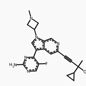 CN1CC(n2cc(-c3nc(N)ncc3F)c3cc(C#CC(C)(O)C4CC4)ncc32)C1